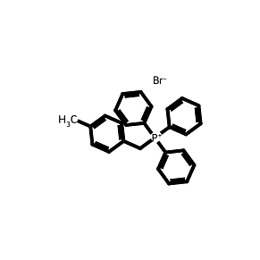 Cc1ccc(C[P+](c2ccccc2)(c2ccccc2)c2ccccc2)cc1.[Br-]